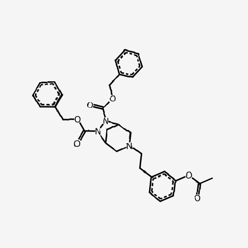 CC(=O)Oc1cccc(CCN2CC3CC(C2)N(C(=O)OCc2ccccc2)N3C(=O)OCc2ccccc2)c1